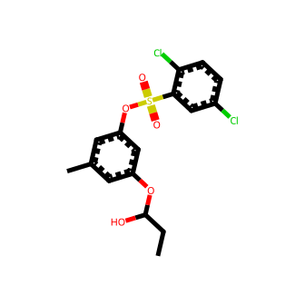 CCC(O)Oc1cc(C)cc(OS(=O)(=O)c2cc(Cl)ccc2Cl)c1